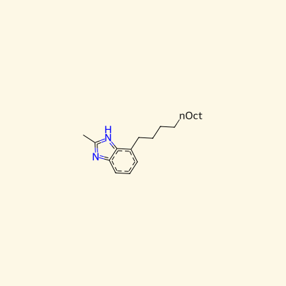 CCCCCCCCCCCCc1cccc2nc(C)[nH]c12